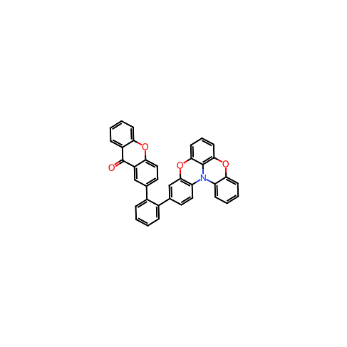 O=c1c2ccccc2oc2ccc(-c3ccccc3-c3ccc4c(c3)Oc3cccc5c3N4c3ccccc3O5)cc12